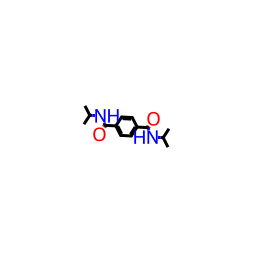 CC(C)NC(=O)c1ccc(C(=O)NC(C)C)cc1